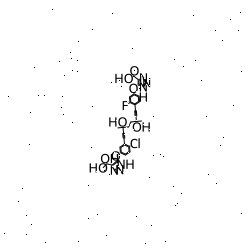 CC(O)(C#Cc1ccc(Oc2[nH]nnc2C(=O)O)cc1F)CCC(C)(O)C#Cc1cc(Oc2[nH]nnc2C(O)O)ccc1Cl